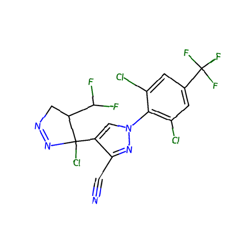 N#Cc1nn(-c2c(Cl)cc(C(F)(F)F)cc2Cl)cc1C1(Cl)N=NCC1C(F)F